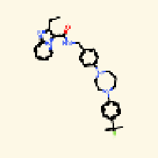 CCc1nc2ccccn2c1C(=O)NCc1ccc(N2CCCN(c3ccc(C(C)(C)F)cc3)CC2)cc1